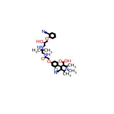 CC1=C(C(=O)O)C(c2ccc(OCC(=O)NCC(C)(C)NC[C@H](O)COc3ccccc3C#N)cc2Cl)=C(C#N)C(C)N1C